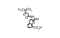 CN(C)C(=O)CC(=O)N[C@H]1Cc2cccc(C(=O)O)c2OB1O